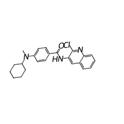 CN(c1ccc(C(=O)Nc2cc3ccccc3nc2Cl)cc1)C1CCCCC1